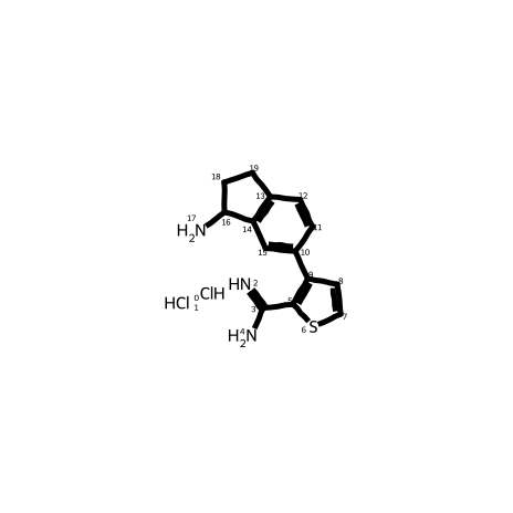 Cl.Cl.N=C(N)c1sccc1-c1ccc2c(c1)C(N)CC2